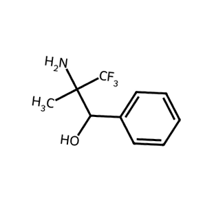 CC(N)(C(O)c1ccccc1)C(F)(F)F